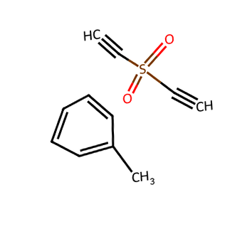 C#CS(=O)(=O)C#C.Cc1ccccc1